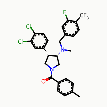 Cc1ccc(C(=O)N2C[C@H](c3ccc(Cl)c(Cl)c3)[C@H](N(C)Cc3ccc(C(F)(F)F)c(F)c3)C2)cc1